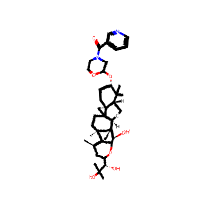 C[C@@H]1CC([C@H](O)C(C)(C)O)OC2C1[C@@]1(C)CCC34C[C@@]35CC[C@H](OC3CN(C(=O)c6cccnc6)CCO3)C(C)(C)[C@@H]5CC[C@H]4[C@]1(C)[C@H]2O